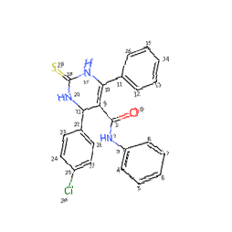 O=C(Nc1ccccc1)C1=C(c2ccccc2)NC(=S)NC1c1ccc(Cl)cc1